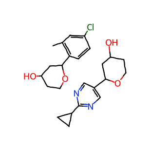 Cc1cc(Cl)ccc1C1CC(O)CCO1.OC1CCOC(c2cnc(C3CC3)nc2)C1